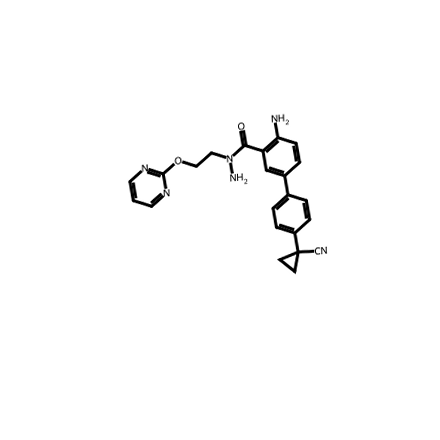 N#CC1(c2ccc(-c3ccc(N)c(C(=O)N(N)CCOc4ncccn4)c3)cc2)CC1